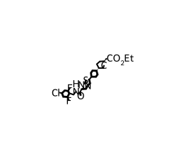 CCOC(=O)C[C@H]1CC[C@H](c2ccc(-c3cn4cc(C(=O)NCc5c(F)cc(Cl)cc5F)nc4s3)cc2)CC1